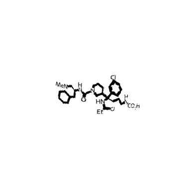 CCC(=O)N[C@@](CCCNC(=O)O)(c1cccc(Cl)c1)[C@@H]1CCCN(C(=O)N[C@H](CNC)CC2CCCCC2)C1